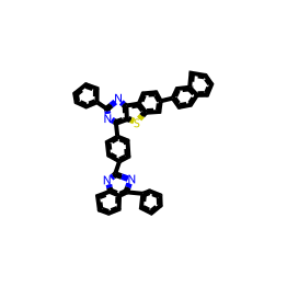 c1ccc(-c2nc(-c3ccc(-c4nc(-c5ccccc5)c5ccccc5n4)cc3)c3sc4cc(-c5ccc6ccccc6c5)ccc4c3n2)cc1